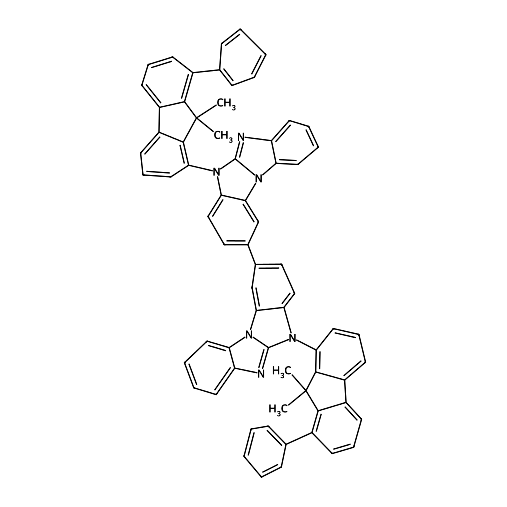 CC1(C)c2c(-c3ccccc3)cccc2-c2cccc(-n3c4ccc(-c5ccc6c(c5)n5c7ccccc7nc5n6-c5cccc6c5C(C)(C)c5c(-c7ccccc7)cccc5-6)cc4n4c5ccccc5nc34)c21